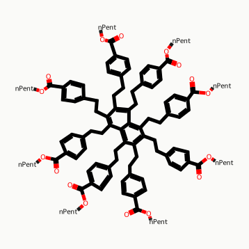 CCCCCOC(=O)c1ccc(CCc2c(CCc3ccc(C(=O)OCCCCC)cc3)c(CCc3ccc(C(=O)OCCCCC)cc3)c3c(CCc4ccc(C(=O)OCCCCC)cc4)c(CCc4ccc(C(=O)OCCCCC)cc4)c(CCc4ccc(C(=O)OCCCCC)cc4)c(CCc4ccc(C(=O)OCCCCC)cc4)c3c2CCc2ccc(C(=O)OCCCCC)cc2)cc1